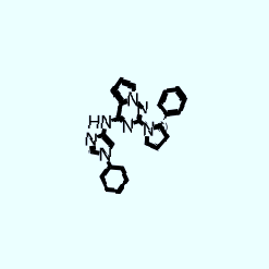 c1ccc([C@@H]2CCCN2c2nc(Nc3cn(C4CCCCC4)cn3)c3cccn3n2)cc1